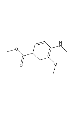 CNC1=C(OC)CC(C(=O)OC)C=C1